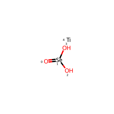 O=[Se](O)O.[Ti]